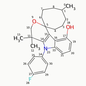 CC1CCCC2(CCC1)OCC(C)(C)c1c2c2c(O)cccc2n1-c1ccc(F)cc1